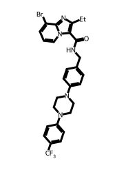 CCc1nc2c(Br)cccn2c1C(=O)NCc1ccc(N2CCN(c3ccc(C(F)(F)F)cc3)CC2)cc1